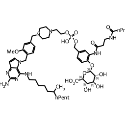 CCCCCC(C)CCCCCNc1nc(N)nc2ccn(Cc3ccc(CN4CCN(CCOP(=O)(O)OCc5ccc(O[C@@H]6O[C@H](C(=O)O)[C@@H](O)[C@H](O)[C@H]6O)c(NC(=O)CCNC(=O)CCC)c5)CC4)cc3OC)c12